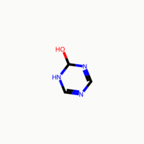 O[C]1N=CN=CN1